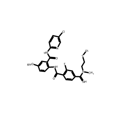 CCSCCN(C)C(=N)c1ccc(C(=O)Nc2ccc(OC)cc2C(=O)Nc2ccc(Cl)cn2)c(F)c1